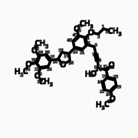 CCCOc1c(CC#CN(O)C(=O)c2ccc(OC)cc2)cc(C2COC(c3cc(OC)c(OC)c(OC)c3)C2)cc1OC